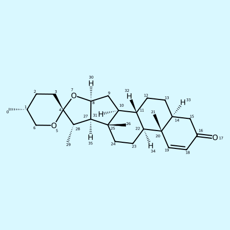 C[C@@H]1CC[C@@]2(OC1)O[C@H]1C[C@H]3[C@@H]4CC[C@H]5CC(=O)C=C[C@]5(C)[C@H]4CC[C@]3(C)[C@H]1[C@@H]2C